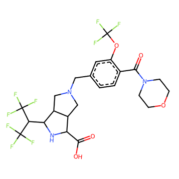 O=C(O)C1NC(C(C(F)(F)F)C(F)(F)F)C2CN(Cc3ccc(C(=O)N4CCOCC4)c(OC(F)(F)F)c3)CC12